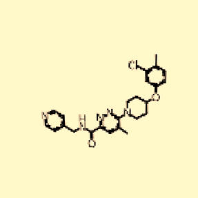 Cc1ccc(OC2CCN(c3nnc(C(=O)NCc4ccncc4)cc3C)CC2)cc1Cl